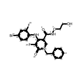 O=C(NOCCO)c1cn(Cc2ccccc2)c(=O)c(F)c1Nc1ccc(Br)cc1F